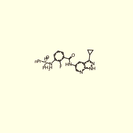 CCC[SH](=O)(P)Nc1cccc(C(=O)Nc2cnc3[nH]nc(C4CC4)c3c2)c1F